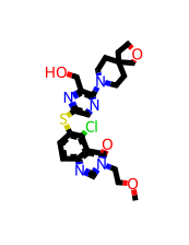 COCCn1cnc2ccc(Sc3cnc(N4CCC5(CCOC5)CC4)c(CO)n3)c(Cl)c2c1=O